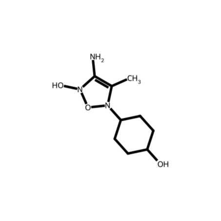 CC1=C(N)N(O)ON1C1CCC(O)CC1